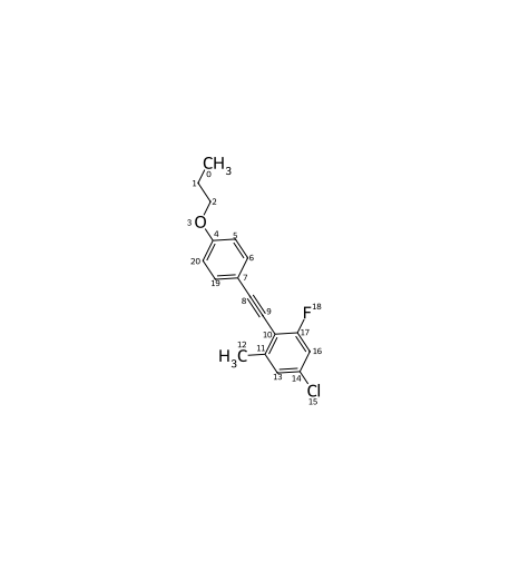 CCCOc1ccc(C#Cc2c(C)cc(Cl)cc2F)cc1